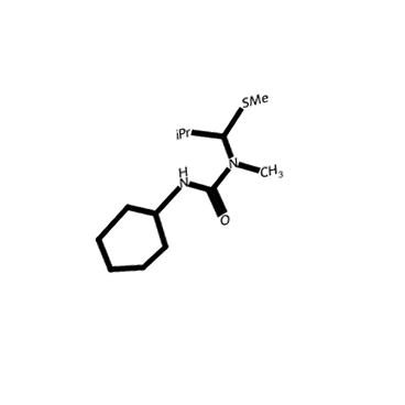 CSC(C(C)C)N(C)C(=O)NC1CCCCC1